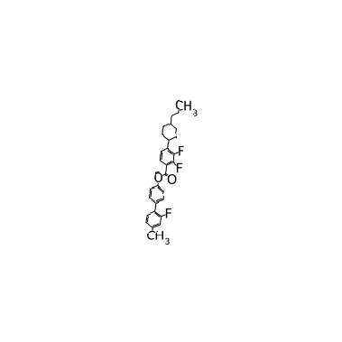 CCCC1CCC(c2ccc(C(=O)Oc3ccc(-c4ccc(C)cc4F)cc3)c(F)c2F)CC1